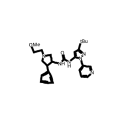 COCCN1CC(NC(=O)Nc2cc(C(C)(C)C)nn2-c2cccnc2)C(c2ccccc2)C1